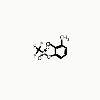 Cc1cccc(OS(=O)(=O)C(F)(F)F)c1Cl